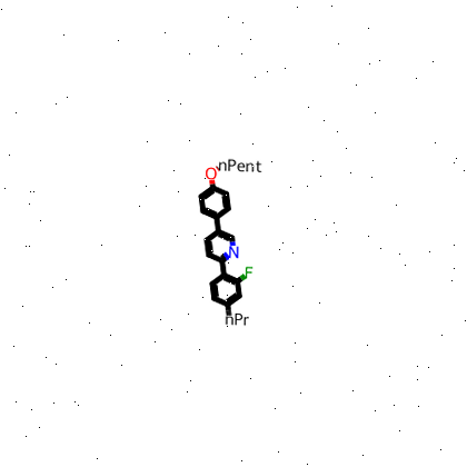 CCCCCOc1ccc(-c2ccc(-c3ccc(CCC)cc3F)nc2)cc1